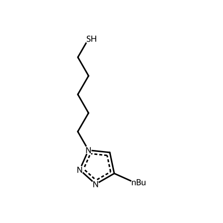 CCCCc1cn(CCCCCS)nn1